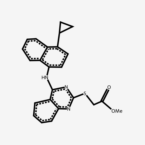 COC(=O)CSc1nc(Nc2ccc(C3CC3)c3ccccc23)c2ccccc2n1